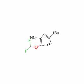 CC(C)(C)c1ccc(OC(F)F)c(C#N)c1